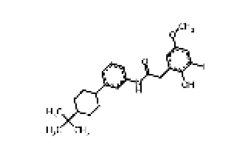 COc1cc(I)c(O)c(CC(=O)Nc2cccc(C3CCC(C(C)(C)C)CC3)c2)c1